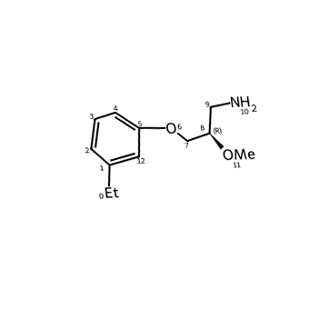 CCc1cccc(OC[C@@H](CN)OC)c1